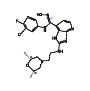 C[C@@H]1CN(CCNc2nc3nccc(/C(=N/O)Nc4ccc(F)c(Cl)c4)c3[nH]2)C[C@H](C)O1